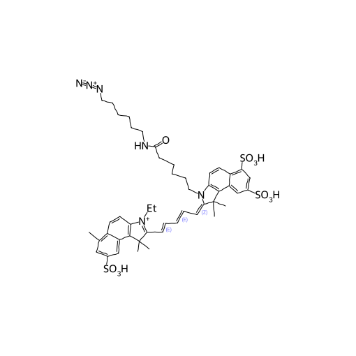 CC[N+]1=C(/C=C/C=C/C=C2\N(CCCCCC(=O)NCCCCCCN=[N+]=[N-])c3ccc4c(S(=O)(=O)O)cc(S(=O)(=O)O)cc4c3C2(C)C)C(C)(C)c2c1ccc1c(C)cc(S(=O)(=O)O)cc21